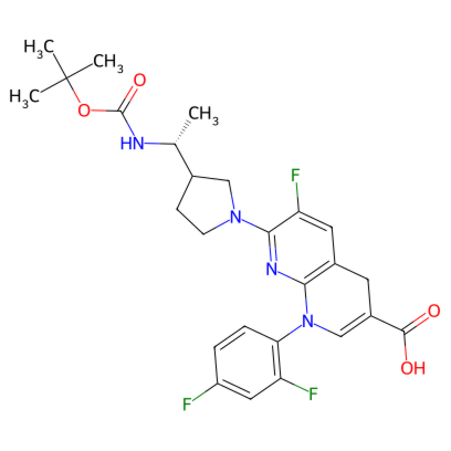 C[C@@H](NC(=O)OC(C)(C)C)C1CCN(c2nc3c(cc2F)CC(C(=O)O)=CN3c2ccc(F)cc2F)C1